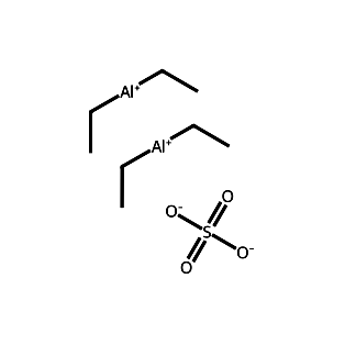 C[CH2][Al+][CH2]C.C[CH2][Al+][CH2]C.O=S(=O)([O-])[O-]